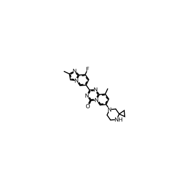 Cc1cn2cc(-c3nc(=O)n4cc(N5CCNC6(CC6)C5)cc(C)c4n3)cc(F)c2n1